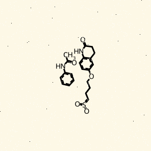 CC(=O)Nc1ccccc1.O=C1CCc2cc(OCCCC=S(=O)=O)ccc2N1